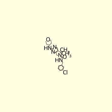 CC1(C)c2cnc(NC3CCOCC3)nc2CN1C(=O)NCc1cccc(Cl)c1